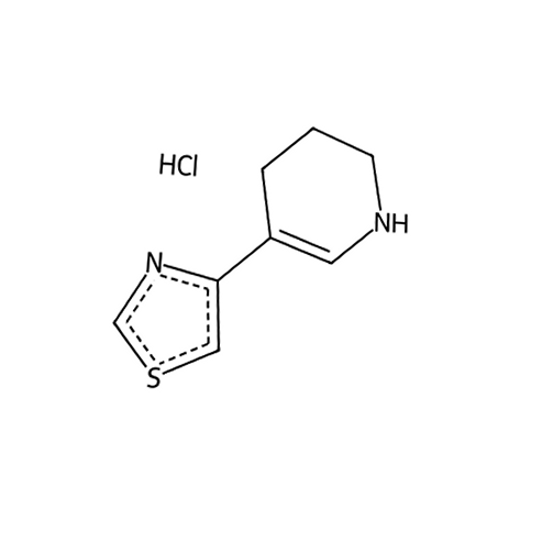 C1=C(c2cscn2)CCCN1.Cl